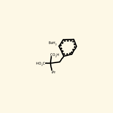 CC(C)C(Cc1ccccc1)(C(=O)O)C(=O)O.[BaH2]